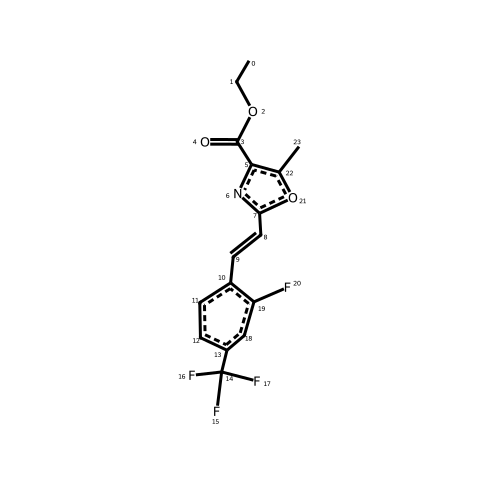 CCOC(=O)c1nc(C=Cc2ccc(C(F)(F)F)cc2F)oc1C